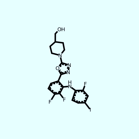 OCC1CCN(c2nnc(-c3ccc(F)c(F)c3Nc3ccc(I)cc3F)o2)CC1